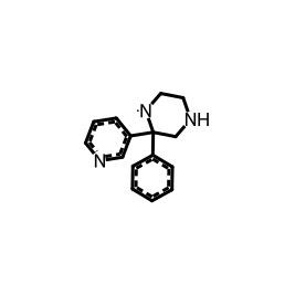 c1ccc(C2(c3cccnc3)CNCC[N]2)cc1